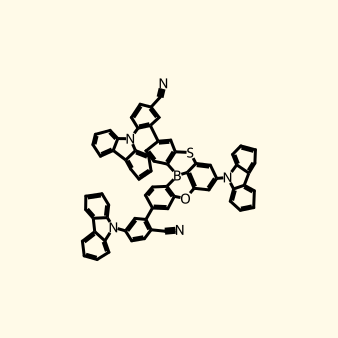 N#Cc1ccc(-n2c3ccccc3c3ccccc32)c(-c2ccc3c(c2)Sc2cc(-n4c5ccccc5c5ccccc54)cc4c2B3c2ccc(-c3cc(-n5c6ccccc6c6ccccc65)ccc3C#N)cc2O4)c1